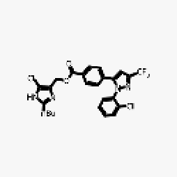 CCCCc1nc(COC(=O)c2ccc(-c3cc(C(F)(F)F)nn3-c3ccccc3Cl)cc2)c(Cl)[nH]1